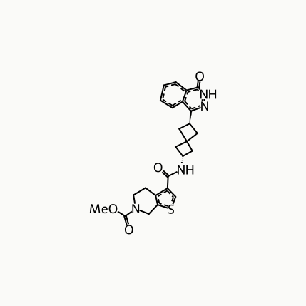 COC(=O)N1CCc2c(C(=O)N[C@H]3CC4(C3)C[C@H](c3n[nH]c(=O)c5ccccc53)C4)csc2C1